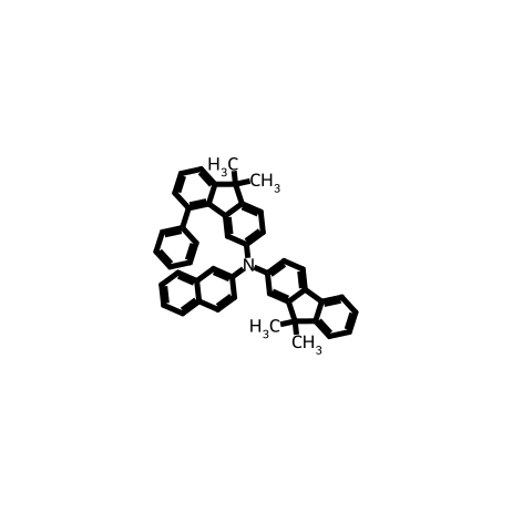 CC1(C)c2ccccc2-c2ccc(N(c3ccc4c(c3)-c3c(-c5ccccc5)cccc3C4(C)C)c3ccc4ccccc4c3)cc21